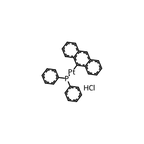 Cl.c1ccc([P]([Pt][c]2c3ccccc3cc3ccccc23)c2ccccc2)cc1